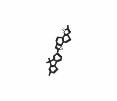 Cc1ccc2c(c1)C(C)(C)c1cc(-c3cc4ccc5c(ccc6cc(C)sc65)c4s3)ccc1-2